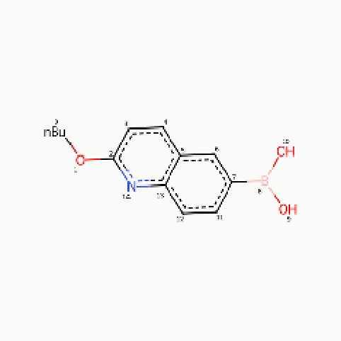 CCCCOc1ccc2cc(B(O)O)ccc2n1